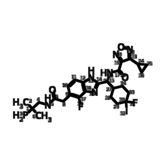 CC(C)(P)CNC(=O)Cc1ccc2[nH]c([C@@H](NC(=O)c3nonc3C3CC3)C3CCC(F)(I)CC3)nc2c1F